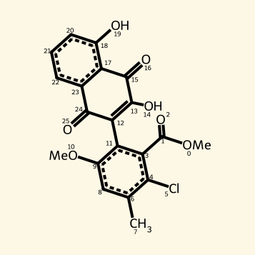 COC(=O)c1c(Cl)c(C)cc(OC)c1C1=C(O)C(=O)c2c(O)cccc2C1=O